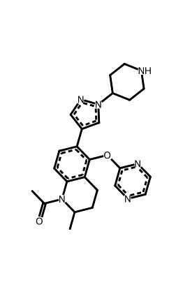 CC(=O)N1c2ccc(-c3cnn(C4CCNCC4)c3)c(Oc3cnccn3)c2CCC1C